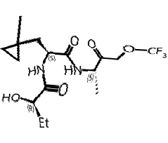 CC[C@@H](O)C(=O)N[C@@H](CC1(C)CC1)C(=O)N[C@@H](C)C(=O)COC(F)(F)F